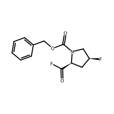 O=C(F)[C@@H]1C[C@H](F)CN1C(=O)OCc1ccccc1